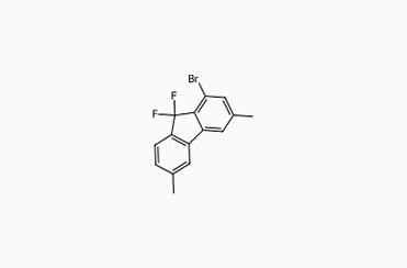 Cc1ccc2c(c1)-c1cc(C)cc(Br)c1C2(F)F